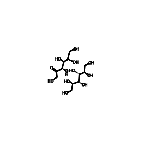 O=C(CO)[C@H](O)[C@@H](O)[C@H](O)CO.OC[C@@H](O)[C@@H](O)[C@H](O)[C@H](O)CO